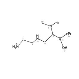 CCCN(O)C(CNCCN)N(C)C